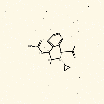 CC(=O)N1c2ccccc2[C@H](NC(=O)O)[C@H](C)[C@H]1C1CC1